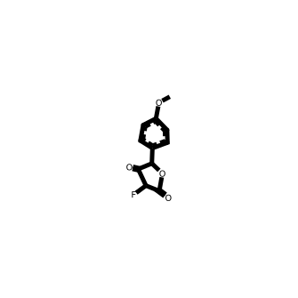 COc1ccc(C2OC(=O)C(F)C2=O)cc1